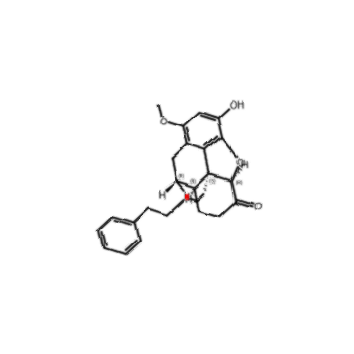 COc1cc(O)c2c3c1C[C@@H]1[C@@H]4CCC(=O)[C@H](O2)[C@]34CCN1CCc1ccccc1